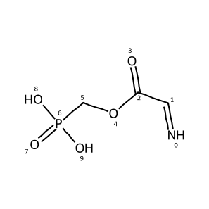 N=CC(=O)OCP(=O)(O)O